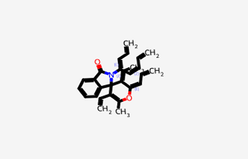 C=C/C=C\C(=C/C=C)N1C(=O)c2ccccc2C12C(C=C)=C(C)OC(=C/C=C)/C2=C\C